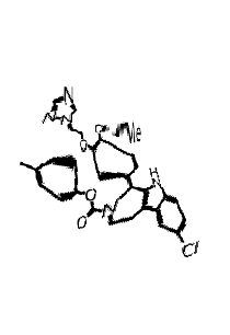 COc1ccc(C2c3[nH]c4c(c3CCN2C(=O)Oc2ccc(C)cc2)=CC(Cl)CC=4)cc1OCCn1cncn1